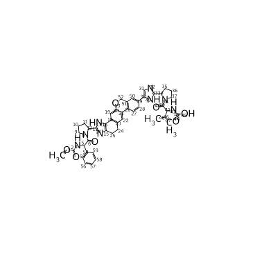 COC(=O)NC(C(=O)N1CCCC1c1nc2c([nH]1)-c1cc3c(cc1CC2)-c1ccc(-c2cnc(C4CCCN4C(=O)C(NC(=O)O)C(C)C)[nH]2)cc1CO3)c1ccccc1